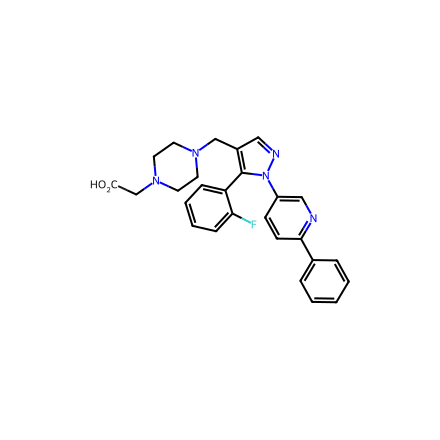 O=C(O)CN1CCN(Cc2cnn(-c3ccc(-c4ccccc4)nc3)c2-c2ccccc2F)CC1